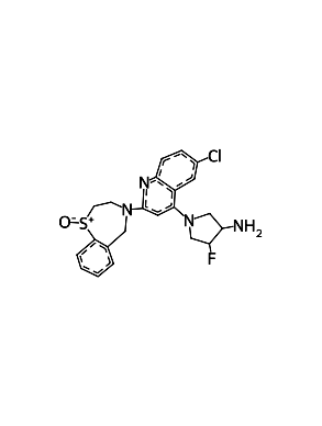 NC1CN(c2cc(N3CC[S+]([O-])c4ccccc4C3)nc3ccc(Cl)cc23)CC1F